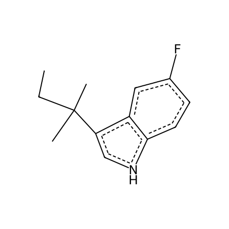 CCC(C)(C)c1c[nH]c2ccc(F)cc12